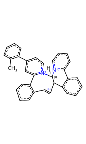 Cc1ccccc1-c1cc[n+]2c(c1)-c1ccccc1/C=C/C1c3ccccc3-c3cccc[n+]3[C@@H]12